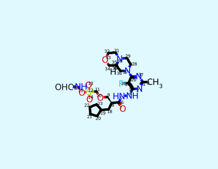 Cc1nc(NNC(=O)[C@H](COCS(=O)(=O)ONC=O)CC2CCCC2)c(F)c(N2CCN3CCOC[C@@H]3C2)n1